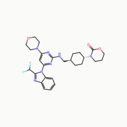 O=C1OCCCN1[C@H]1CC[C@H](CNc2nc(N3CCOCC3)cc(-n3c(C(F)F)nc4ccccc43)n2)CC1